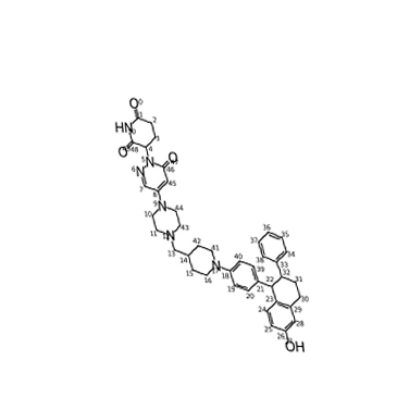 O=C1CCC(n2ncc(N3CCN(CC4CCN(c5ccc(C6c7ccc(O)cc7CCC6c6ccccc6)cc5)CC4)CC3)cc2=O)C(=O)N1